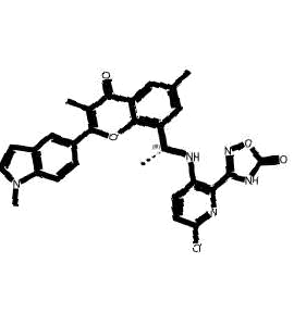 Cc1cc([C@@H](C)Nc2ccc(Cl)nc2-c2noc(=O)[nH]2)c2oc(-c3ccc4c(ccn4C)c3)c(C)c(=O)c2c1